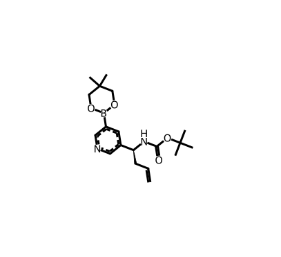 C=CC[C@H](NC(=O)OC(C)(C)C)c1cncc(B2OCC(C)(C)CO2)c1